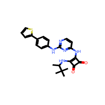 CC(Nc1c(Nc2ccnc(Nc3ccc(-c4cccs4)cc3)n2)c(=O)c1=O)C(C)(C)C